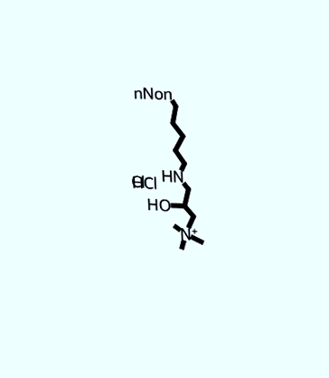 CCCCCCCCCCCCCCNCC(O)C[N+](C)(C)C.Cl.[Cl-]